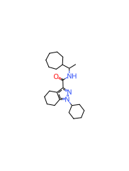 CC(NC(=O)c1nn(C2CCCCC2)c2c1CCCC2)C1CCCCCC1